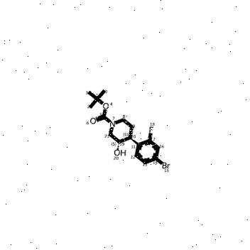 CC(C)(C)OC(=O)N1CC[C@@H](c2ccc(Br)cc2F)[C@H](O)C1